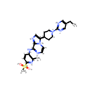 CCc1cnc(N2CCC(c3cnc4c(Nc5ccc(S(C)(=O)=O)nc5C)nccn34)CC2)nc1